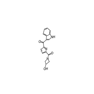 O=C(c1nc(C(=O)N2CC(O)C2)cs1)c1c[nH]c2ccccc12